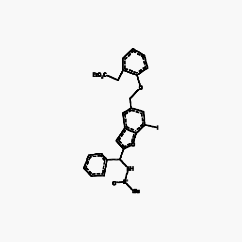 CCOC(=O)Cc1ccccc1OCc1cc(I)c2oc(C(N[S+]([O-])C(C)(C)C)c3ccccc3)cc2c1